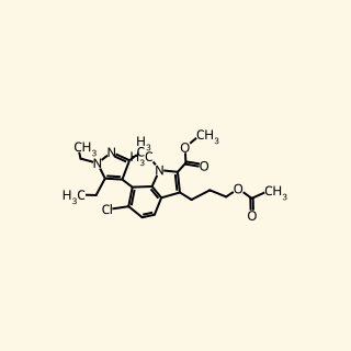 CCc1c(-c2c(Cl)ccc3c(CCCOC(C)=O)c(C(=O)OC)n(C)c23)c(C)nn1CC